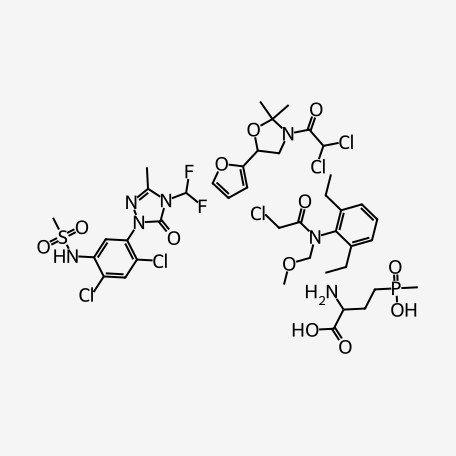 CC1(C)OC(c2ccco2)CN1C(=O)C(Cl)Cl.CCc1cccc(CC)c1N(COC)C(=O)CCl.CP(=O)(O)CCC(N)C(=O)O.Cc1nn(-c2cc(NS(C)(=O)=O)c(Cl)cc2Cl)c(=O)n1C(F)F